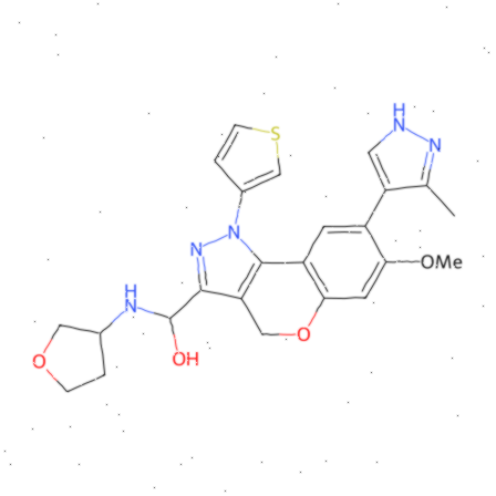 COc1cc2c(cc1-c1c[nH]nc1C)-c1c(c(C(O)NC3CCOC3)nn1-c1ccsc1)CO2